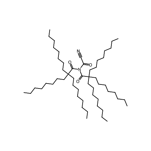 CCCCCCCCC(CCCCCCCC)(CCCCCCCC)C(=O)N(C(=O)C#N)C(=O)C(CCCCCCCC)(CCCCCCCC)CCCCCCCC